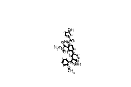 COc1ccccc1-c1n[nH]c2ncc(-c3ccc(NC(=O)N4CCC(O)C4)c(C(=O)N(C)C)c3)cc12